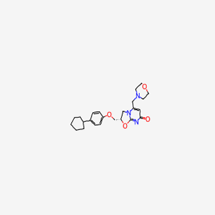 O=c1cc(CN2CCOCC2)n2c(n1)O[C@H](COc1ccc(C3CCCCC3)cc1)C2